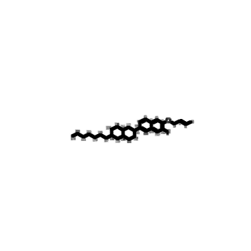 CC=CCOc1cc2ccc(C3CCC4CC(CCCCCCC)CCC4C3)cc2cc1F